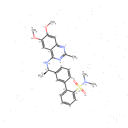 COc1cc2nc(C)nc(N[C@H](C)c3cccc(-c4ccccc4S(=O)(=O)N(C)C)c3)c2cc1OC